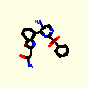 NC(=O)Cc1nc2c(-c3nc(S(=O)(=O)c4ccccc4)ncc3N)cccc2s1